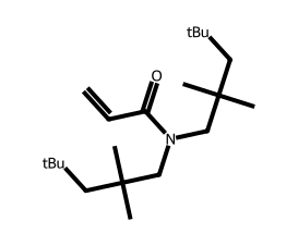 C=CC(=O)N(CC(C)(C)CC(C)(C)C)CC(C)(C)CC(C)(C)C